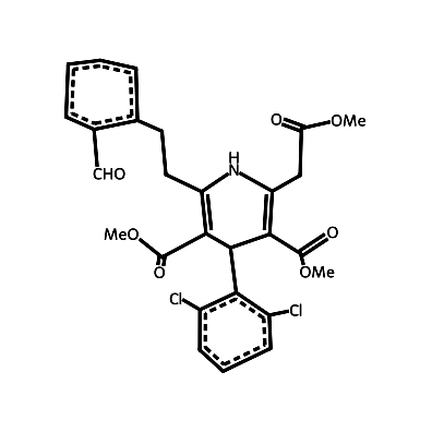 COC(=O)CC1=C(C(=O)OC)C(c2c(Cl)cccc2Cl)C(C(=O)OC)=C(CCc2ccccc2C=O)N1